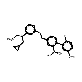 COc1ccc(F)c(-c2ccc(COc3cccc([C@H](CC(=O)O)CC4CC4)c3)cc2C(O)C(C)(C)C)c1